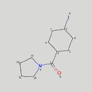 O=C(C1CCC(I)CC1)N1CCCC1